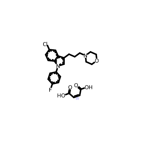 Fc1ccc(-n2cc(CCCN3CCOCC3)c3cc(Cl)ccc32)cc1.O=C(O)/C=C\C(=O)O